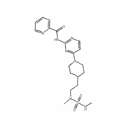 CNS(=O)(=O)N(C)CCC1CCN(c2ccnc(NC(=O)c3ccccn3)n2)CC1